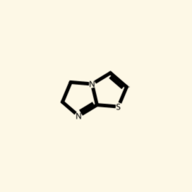 [C]1=CN2CCN=C2S1